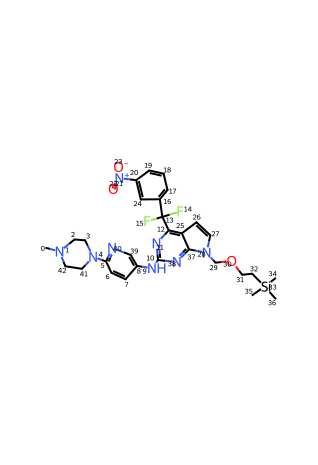 CN1CCN(c2ccc(Nc3nc(C(F)(F)c4cccc([N+](=O)[O-])c4)c4ccn(COCC[Si](C)(C)C)c4n3)cn2)CC1